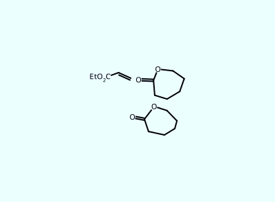 C=CC(=O)OCC.O=C1CCCCCO1.O=C1CCCCCO1